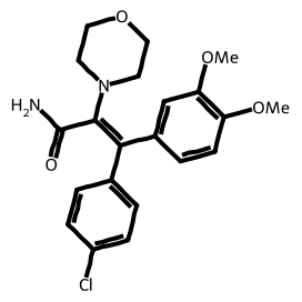 COc1ccc(C(=C(C(N)=O)N2CCOCC2)c2ccc(Cl)cc2)cc1OC